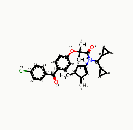 CC1C=C(N(C(=O)C(C)(C)Oc2ccc(C(=O)c3ccc(Cl)cc3)cc2)C(C2CC2)C2CC2)CC1C